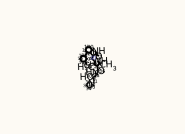 Cc1[nH]c(/C=C2\C(=O)Nc3cccc(-c4cccc(Cl)c4)c32)c(C)c1C(=O)NCC(O)CN1CCCC1